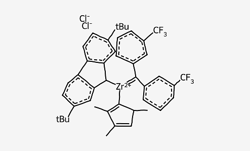 CC1=CC(C)[C]([Zr+2](=[C](c2cccc(C(F)(F)F)c2)c2cccc(C(F)(F)F)c2)[CH]2c3cc(C(C)(C)C)ccc3-c3ccc(C(C)(C)C)cc32)=C1C.[Cl-].[Cl-]